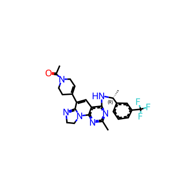 CC(=O)N1CC=C(C2=Cc3c(N[C@H](C)c4cccc(C(F)(F)F)c4)nc(C)nc3N3CCN=C23)CC1